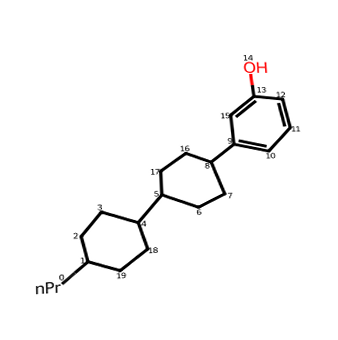 CCCC1CCC(C2CCC(c3cccc(O)c3)CC2)CC1